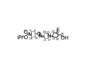 CC(C)OC(=O)N1CCC(ON=C2CCN(c3ccc(CO)c(F)c3)CC2)CC1